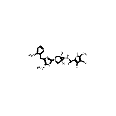 COc1ccccc1Cc1nc(N2C[C@@H]3[C@H](C2)[C@@H]3NC(=O)c2[nH]c(C)c(Cl)c2Cl)sc1C(=O)O